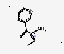 C=C(/C(N)=C\C)c1cccnc1